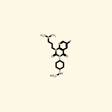 CN(C)CCCn1c(=O)n([C@H]2CC[C@@H](NC(=O)O)CC2)c(=O)c2cc(F)cnc21